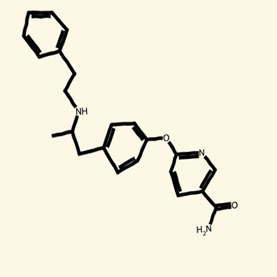 CC(Cc1ccc(Oc2ccc(C(N)=O)cn2)cc1)NCCc1ccccc1